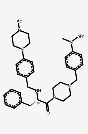 CCCN(C)c1ccc(CN2CCN(C(=O)[C@H](Cc3ccccc3)NCc3ccc(N4CCN(C(C)=O)CC4)cc3)CC2)cc1